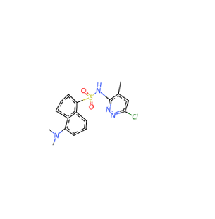 Cc1cc(Cl)nnc1NS(=O)(=O)c1cccc2c(N(C)C)cccc12